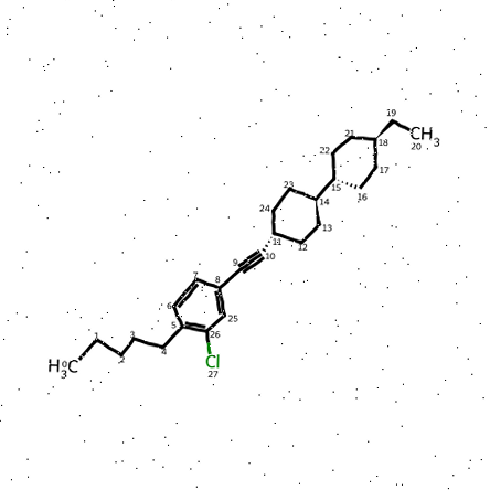 CCCCCc1ccc(C#C[C@H]2CC[C@H]([C@H]3CC[C@H](CC)CC3)CC2)cc1Cl